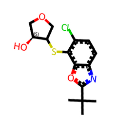 CC(C)(C)c1nc2ccc(Cl)c(SC3COC[C@@H]3O)c2o1